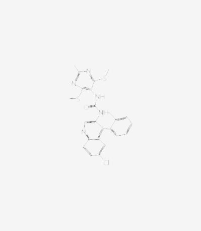 CSc1nc(C)nc(SC)c1NC(=O)Nc1cnc2ccc(Cl)cc2c1-c1ccccc1C